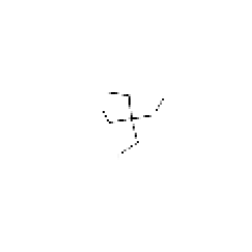 CSC(CN)(CN)CP